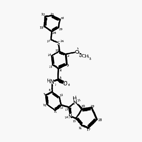 COc1cc(C(=O)Nc2cccc(-c3nc4ccccc4[nH]3)c2)ccc1SCc1ccccc1